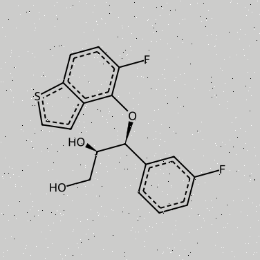 OC[C@@H](O)[C@@H](Oc1c(F)ccc2sccc12)c1cccc(F)c1